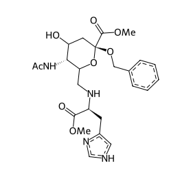 COC(=O)[C@H](Cc1c[nH]cn1)NCC1O[C@@](OCc2ccccc2)(C(=O)OC)CC(O)[C@H]1NC(C)=O